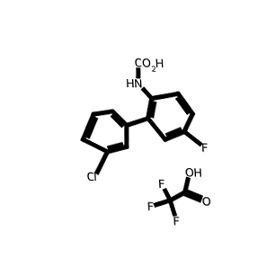 O=C(O)C(F)(F)F.O=C(O)Nc1ccc(F)cc1-c1cccc(Cl)c1